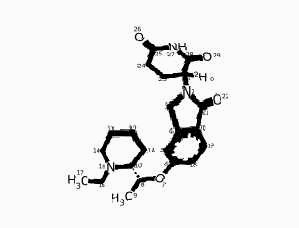 [2H]C1(N2Cc3cc(OC(C)[C@H]4CCCCN4CC)ccc3C2=O)CCC(=O)NC1=O